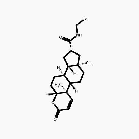 CC(C)CNC(=O)[C@H]1C[C@H]2[C@@H]3CC[C@H]4OC(=O)C=C[C@]4(C)[C@H]3CC[C@]2(C)C1